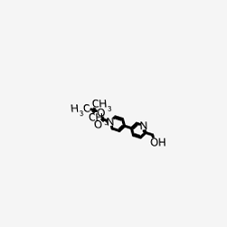 CC(C)(C)OC(=O)N1C=CC(c2ccc(CO)nc2)=CC1